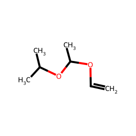 C=COC(C)OC(C)C